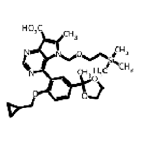 Cc1c(C(=O)O)c2ncnc(-c3cc(C4(C)OCCO4)ccc3OCC3CC3)c2n1COCC[Si](C)(C)C